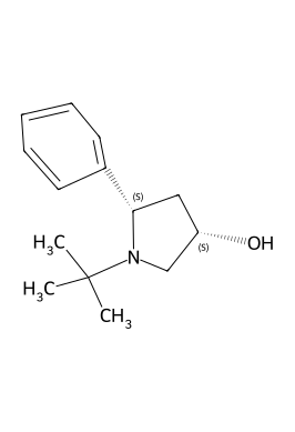 CC(C)(C)N1C[C@@H](O)C[C@H]1c1ccccc1